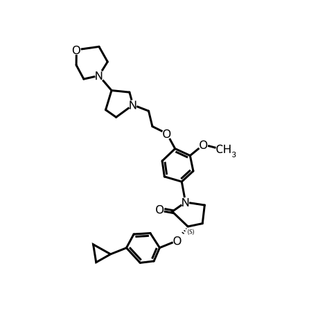 COc1cc(N2CC[C@H](Oc3ccc(C4CC4)cc3)C2=O)ccc1OCCN1CCC(N2CCOCC2)C1